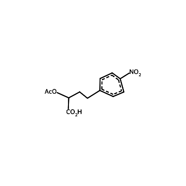 CC(=O)OC(CCc1ccc([N+](=O)[O-])cc1)C(=O)O